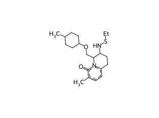 CCSNC1CCc2ccc(C)c(=O)n2C1COC1CCC(C)CC1